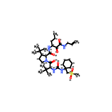 C=CCNC(=O)C(=O)C(CCC)NC(=O)[C@@H]1C(C(C)(C)C)CCN1C(=O)[C@@H](NC(=O)NC1(CS(C)(=O)=O)CCCCC1)C(C)(C)C